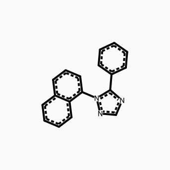 c1ccc(-c2ncnn2-c2cccc3ccccc23)cc1